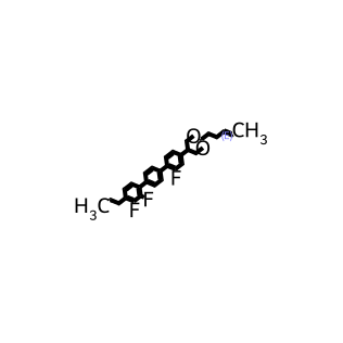 C/C=C/CCC1OCC(c2ccc(-c3ccc(-c4ccc(CCC)c(F)c4F)cc3)c(F)c2)CO1